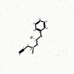 C#CCN(C)C[C@H](F)Cc1ccccc1